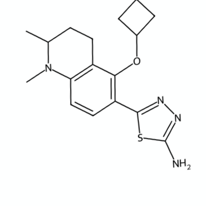 CC1CCc2c(ccc(-c3nnc(N)s3)c2OC2CCC2)N1C